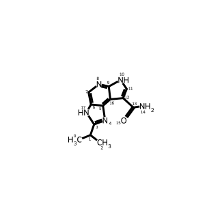 CC(C)c1nc2c(cnc3[nH]cc(C(N)=O)c32)[nH]1